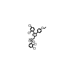 CCOc1ccc(C2CC(CNS(=O)(=O)c3cccc(Cl)c3Cl)=NN2c2ccc(Cl)cc2Cl)cc1